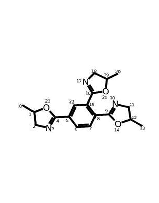 CC1CN=C(c2ccc(C3=NCC(C)O3)c(C3=NCC(C)O3)c2)O1